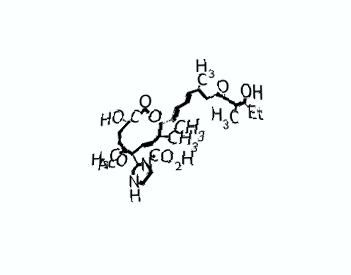 CC[C@@H](O)[C@@H](C)[C@H]1O[C@@H]1C[C@@H](C)/C=C/C=C(\C)[C@H]1OC(=O)C[C@@H](O)CC[C@](C)(OC(C)=O)[C@H](C2CNCCN2C(=O)O)/C=C/[C@@H]1C